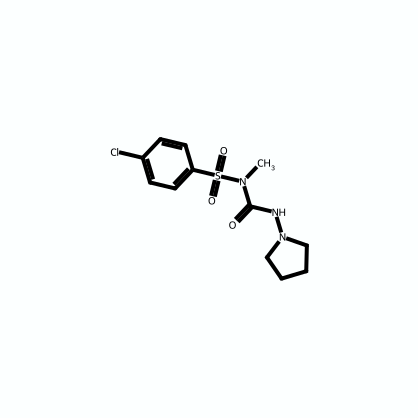 CN(C(=O)NN1CCCC1)S(=O)(=O)c1ccc(Cl)cc1